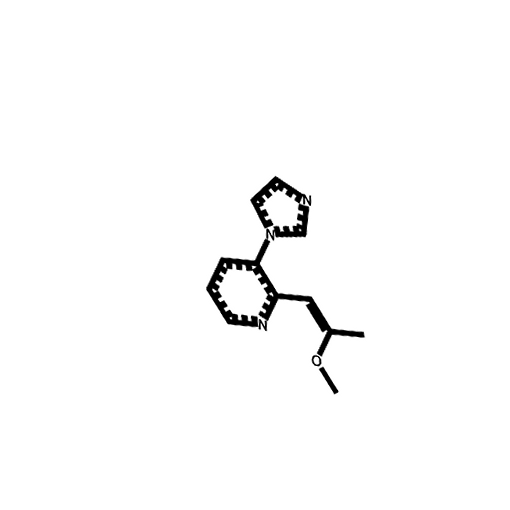 COC(C)=Cc1ncccc1-n1ccnc1